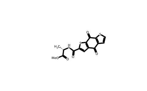 COC(=O)[C@H](C)NC(=O)c1cc2c(s1)C(=O)c1sccc1C2=O